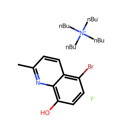 CCCC[N+](CCCC)(CCCC)CCCC.Cc1ccc2c(Br)ccc(O)c2n1.[F-]